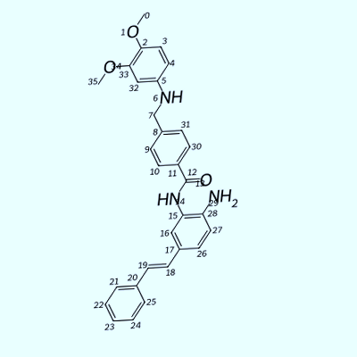 COc1ccc(NCc2ccc(C(=O)Nc3cc(C=Cc4ccccc4)ccc3N)cc2)cc1OC